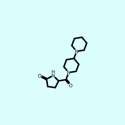 O=C1CCC(C(=O)N2CCC(N3CCCCC3)CC2)N1